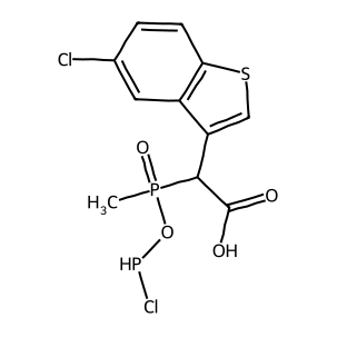 CP(=O)(OPCl)C(C(=O)O)c1csc2ccc(Cl)cc12